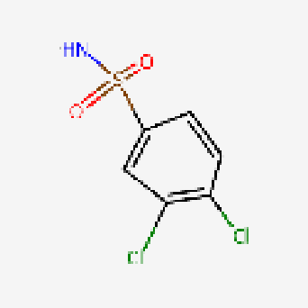 [NH]S(=O)(=O)c1ccc(Cl)c(Cl)c1